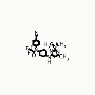 Cc1cc(NC2CCC(N(C(=O)C(F)(F)F)c3ccc(C#N)cc3)CC2)nc(N(C)C)n1